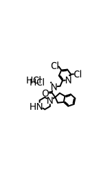 CN(Cc1cc(Cl)cc(Cl)n1)C(=O)C1(N2CCNCC2)Cc2ccccc2C1.Cl.Cl